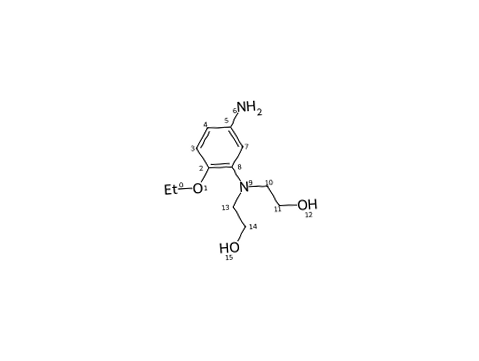 CCOc1ccc(N)cc1N(CCO)CCO